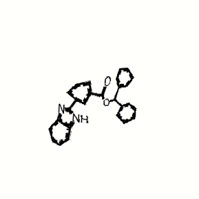 O=C(OC(c1ccccc1)c1ccccc1)c1cccc(-c2nc3ccccc3[nH]2)c1